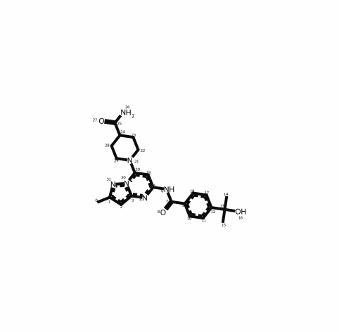 Cc1cc2nc(NC(=O)c3ccc(C(C)(C)O)cc3)cc(N3CCC(C(N)=O)CC3)n2n1